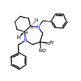 CCCC1(N=O)CN(Cc2ccccc2)[C@@H]2CCCC[C@H]2N(Cc2ccccc2)C1